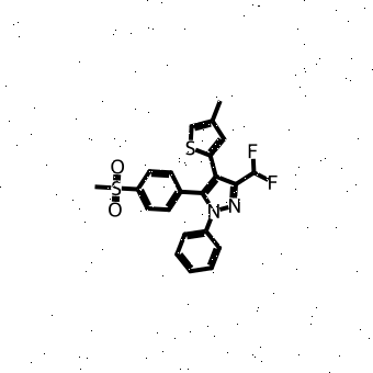 Cc1csc(-c2c(C(F)F)nn(-c3ccccc3)c2-c2ccc(S(C)(=O)=O)cc2)c1